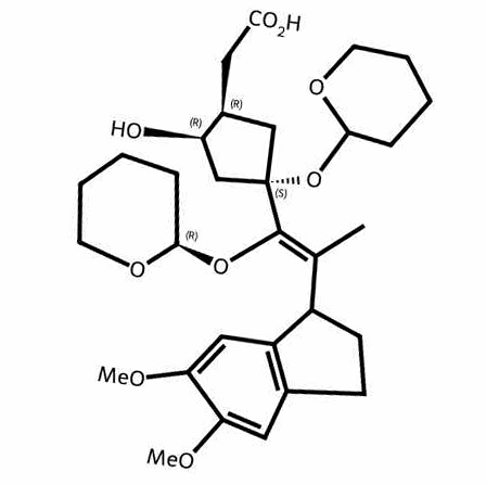 COc1cc2c(cc1OC)C(C(C)=C(O[C@@H]1CCCCO1)[C@]1(OC3CCCCO3)C[C@H](CC(=O)O)[C@H](O)C1)CC2